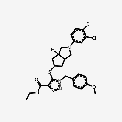 CCOC(=O)c1nnn(Cc2ccc(OC)cc2)c1S[C@@H]1CC2CN(c3ccc(Cl)c(Cl)c3)C[C@H]2C1